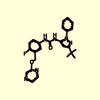 CC(C)(C)c1cc(NC(=O)Nc2ccc(F)c(COc3cnccn3)c2)n(-c2ccccc2)n1